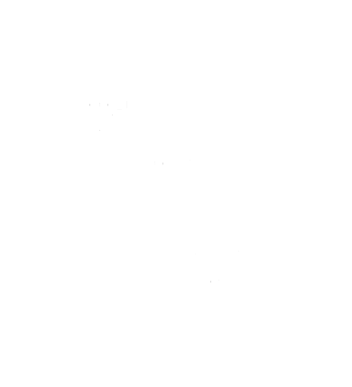 C=C(COC(=O)C1CCC2(C)OC2C1)C(=O)OCC